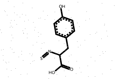 O=C(O)C(Cc1ccc(O)cc1)N=S